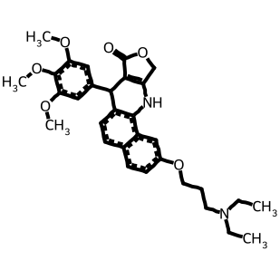 CCN(CC)CCCOc1ccc2ccc3c(c2c1)NC1=C(C(=O)OC1)C3c1cc(OC)c(OC)c(OC)c1